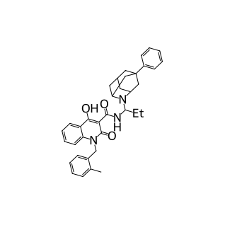 CCC(NC(=O)c1c(O)c2ccccc2n(Cc2ccccc2C)c1=O)N1C2CC3CC1CC(c1ccccc1)(C3)C2